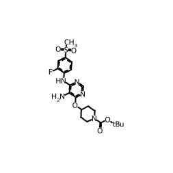 CC(C)(C)OC(=O)N1CCC(Oc2ncnc(Nc3ccc(S(C)(=O)=O)cc3F)c2N)CC1